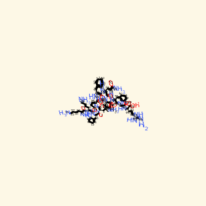 CC(C)C[C@H](NC(=O)[C@H](Cc1ccccc1)NC(=O)[C@H](CCCCN)NC(=O)[C@@H](N)CCCCN)C(=O)N1CCC[C@H]1C(=O)N[C@@H](Cc1ccccc1)C(=O)N[C@@H](CCC(N)=O)C(=O)N[C@@H](CCC(N)=O)C(=O)N[C@@H](Cc1ccccc1)C(=O)NCC(=O)N[C@@H](CCCNC(=N)N)C(=O)O